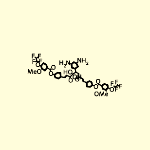 COc1cc(C(=O)Oc2ccc(C=CC(=O)CC(c3cc(N)cc(N)c3)C(O)(O)C(=O)C=Cc3ccc(OC(=O)c4ccc(OC(F)(F)C(F)F)c(OC)c4)cc3)cc2)ccc1OC(F)(F)C(F)F